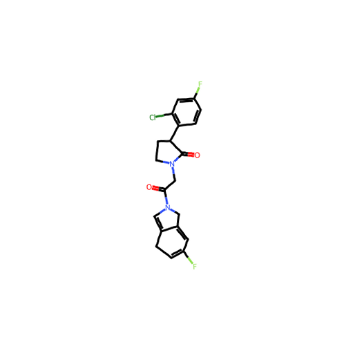 O=C(CN1CCC(c2ccc(F)cc2Cl)C1=O)N1C=C2CC=C(F)C=C2C1